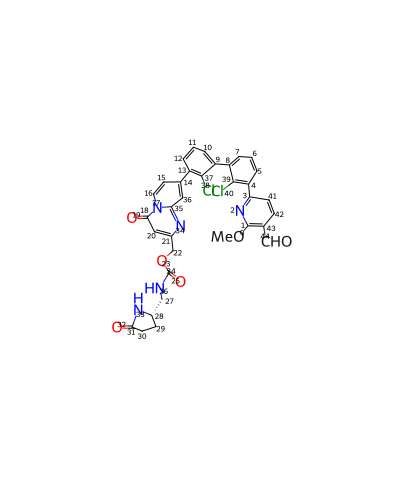 COc1nc(-c2cccc(-c3cccc(-c4ccn5c(=O)cc(COC(=O)NC[C@@H]6CCC(=O)N6)nc5c4)c3Cl)c2Cl)ccc1C=O